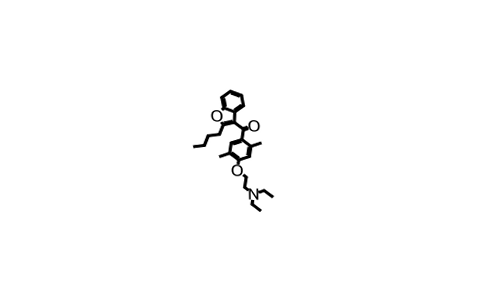 CCCCc1oc2ccccc2c1C(=O)c1cc(C)c(OCCN(CC)CC)cc1C